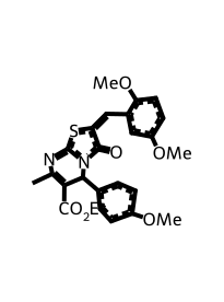 CCOC(=O)C1=C(C)N=c2sc(=Cc3cc(OC)ccc3OC)c(=O)n2C1c1ccc(OC)cc1